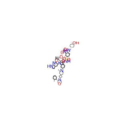 Cc1ccccc1[C@@H]1COCCN1C1CC2(CCN(c3ccc(C(=O)NS(=O)(=O)c4ccc(NC[C@H]5CC[C@](C)(O)CC5)c([N+](=O)[O-])c4)c(N4c5cc6cc[nH]c6nc5O[C@H]5COCC[C@@H]54)c3)[C@H](C)C2)C1